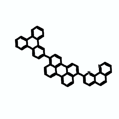 c1cnc2c(c1)ccc1ccc(-c3ccc4c5ccc(-c6ccc7c8ccccc8c8ccccc8c7c6)c6cccc(c7cccc3c74)c65)nc12